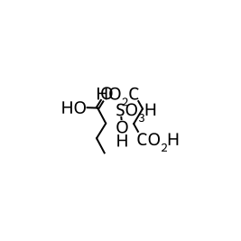 CCCC(=O)O.O=C(O)CCC(=O)O.O=S(=O)(O)O